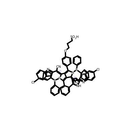 N#C/C(c1nc2ccc(Cl)cc2s1)=c1\c2c(-c3ccccc3-c3ccc[nH]3)n(B(c3ccccc3)c3ccccc3)/c(=C(/C#N)c3nc4ccc(Cl)cc4s3)c2c(-c2ccc(OCCCS(=O)(=O)O)cc2)n1B(c1ccccc1)c1ccccc1